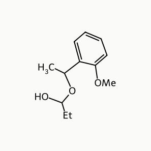 CCC(O)OC(C)c1ccccc1OC